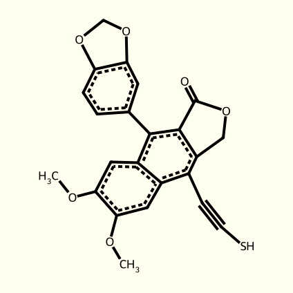 COc1cc2c(C#CS)c3c(c(-c4ccc5c(c4)OCO5)c2cc1OC)C(=O)OC3